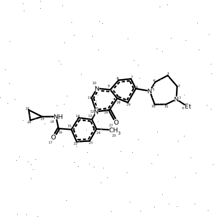 CCN1CCCN(c2ccc3ncn(-c4cc(C(=O)NC5CC5)ccc4C)c(=O)c3c2)CC1